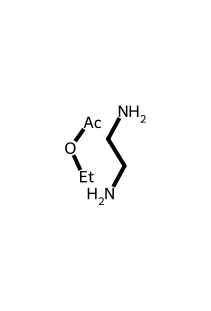 CCOC(C)=O.NCCN